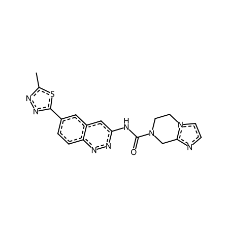 Cc1nnc(-c2ccc3nnc(NC(=O)N4CCn5ccnc5C4)cc3c2)s1